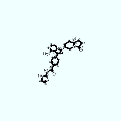 Nc1nccn2c([C@@H]3CC[C@H]4CCC(=O)N4C3)nc(-c3ccc(C(=O)Nc4ncc[nH]4)cc3)c12